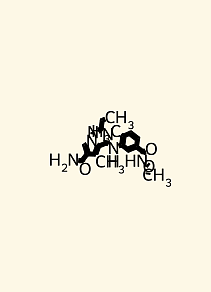 CCc1nc(Nc2cc(C(=O)NOC)ccc2C)c2c(C)c(C(N)=O)cn2n1